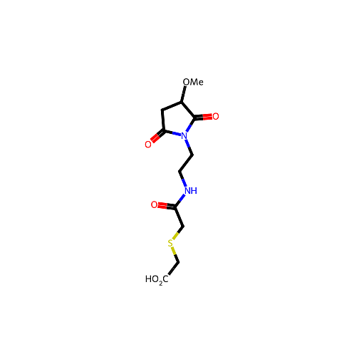 COC1CC(=O)N(CCNC(=O)CSCC(=O)O)C1=O